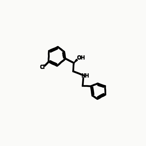 O[C@@H](CNCc1ccccc1)c1cccc(Cl)c1